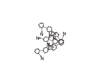 N#Cc1cc(-n2c3cc(-c4ccccc4C#N)ccc3c3ccc(-c4ccccc4C#N)cc32)c(-c2c(C(F)(F)F)cccc2C(F)(F)F)c(-n2c3cc(-c4ccccc4C#N)ccc3c3ccc(-c4ccccc4C#N)cc32)c1